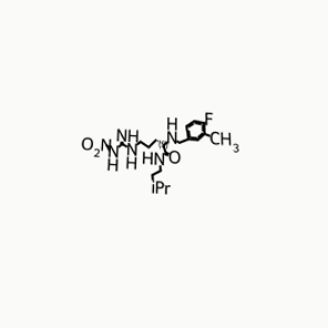 Cc1cc(CN[C@@H](CCCNC(=N)N[N+](=O)[O-])C(=O)NCCC(C)C)ccc1F